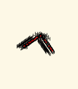 O.O.O.O.O.O.O.O.O.O.O.O.O.O.O.O.O.O.O.O.O.O.O.O.O.O.O.O.O.O.O.O.O.O.O.O.O.O.O.O.OB(O)O.OB(O)O.OB(O)O.OB(O)O.[Na]